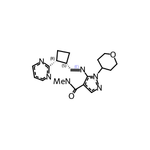 CNC(=O)c1cnn(C2CCOCC2)c1/N=C/[C@H]1CC[C@H]1c1ncccn1